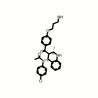 CC(=O)N(c1ccc(Cl)cc1)[C@H]1c2ccccc2N[C@@H](C)C1C(=O)c1ccc(OCCC[NH])cc1